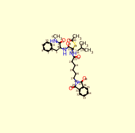 CNC(=O)[C@H](Cc1ccccc1)NC(=O)[C@](CC(C)C)(NC(=O)CCCCCN1C(=O)c2ccccc2C1=O)SC(C)=O